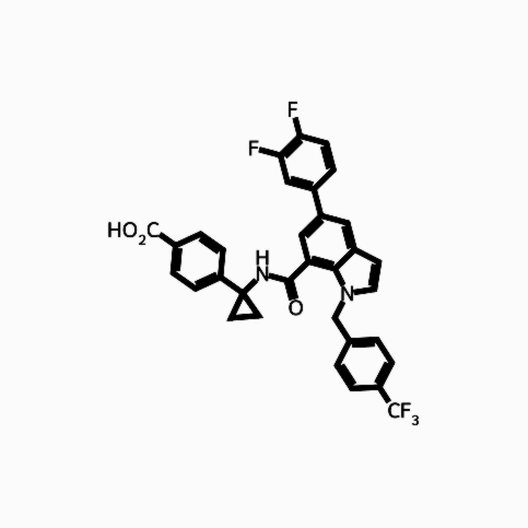 O=C(O)c1ccc(C2(NC(=O)c3cc(-c4ccc(F)c(F)c4)cc4ccn(Cc5ccc(C(F)(F)F)cc5)c34)CC2)cc1